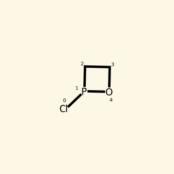 ClP1CCO1